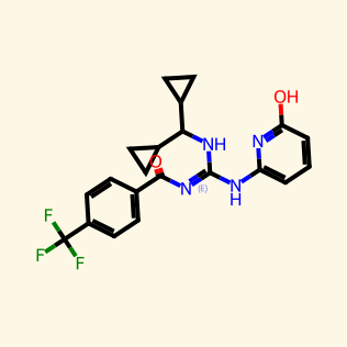 O=C(/N=C(/Nc1cccc(O)n1)NC(C1CC1)C1CC1)c1ccc(C(F)(F)F)cc1